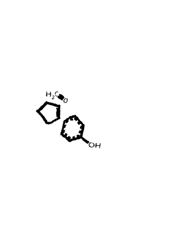 C1=CCCC1.C=O.Oc1ccccc1